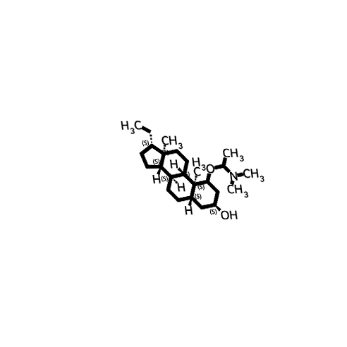 CC[C@H]1CC[C@H]2[C@@H]3CC[C@H]4C[C@H](O)CC(OC(C)N(C)C)[C@]4(C)[C@H]3CC[C@]12C